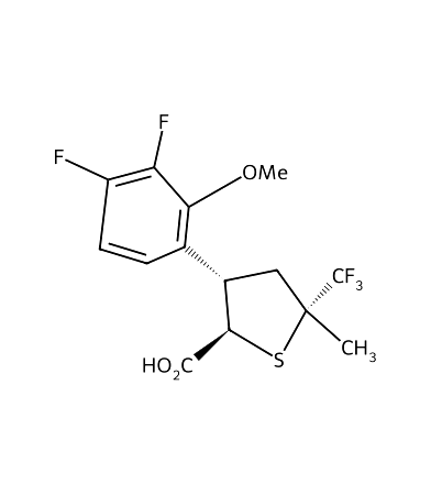 COc1c([C@@H]2C[C@](C)(C(F)(F)F)S[C@H]2C(=O)O)ccc(F)c1F